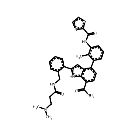 Cc1c(NC(=O)c2nccs2)cccc1-c1ccc(C(N)=O)c2[nH]c(-c3ccccc3CNC(=O)CCN(C)C)cc12